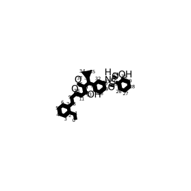 CCc1ccccc1CCc1cc(O)c(C(c2cccc(NS(=O)(=O)c3ccccc3O)c2)C2CC2)c(=O)o1